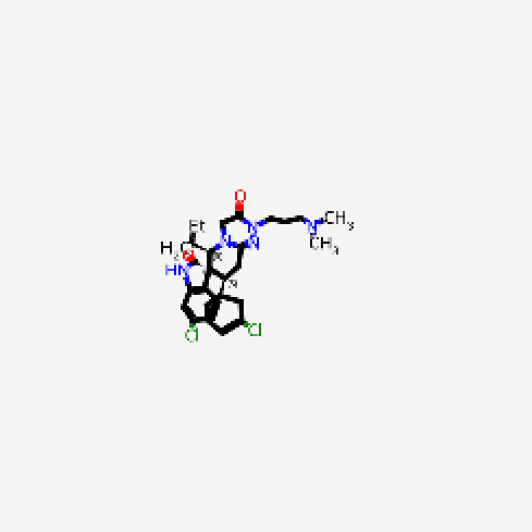 C=C(CC)[C@H]1N2CC(=O)N(CCCN(C)C)N=C2C[C@@H](C2C=CC=C(Cl)C2)[C@]12C(=O)Nc1cc(Cl)ccc12